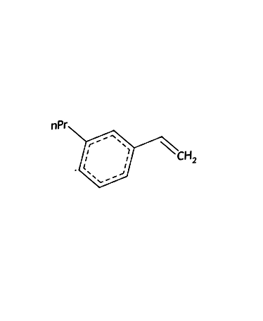 C=Cc1cc[c]c(CCC)c1